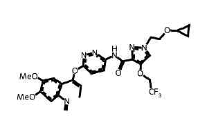 C=Nc1cc(OC)c(OC)cc1/C(=C\C)Oc1ccc(NC(=O)c2nn(CCOC3CC3)cc2OCC(F)(F)F)nn1